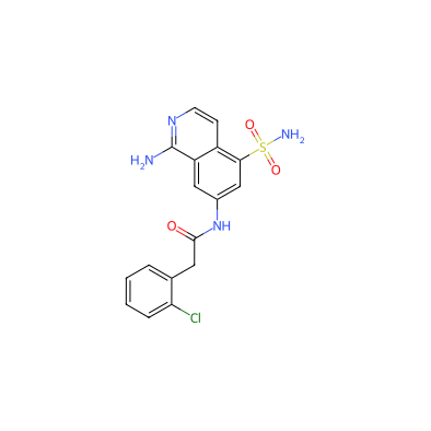 Nc1nccc2c(S(N)(=O)=O)cc(NC(=O)Cc3ccccc3Cl)cc12